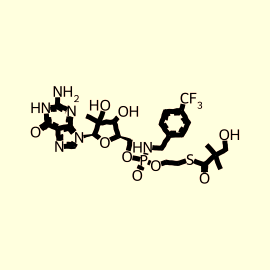 CC(C)(CO)C(=O)SCCOP(=O)(NCc1ccc(C(F)(F)F)cc1)OC[C@H]1O[C@@H](n2cnc3c(=O)[nH]c(N)nc32)C(C)(O)C1O